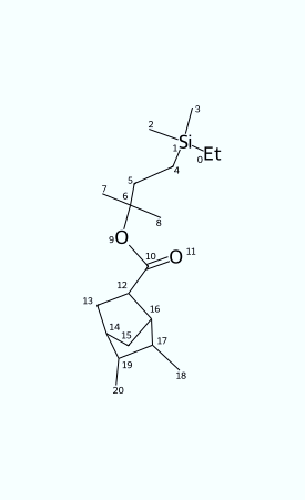 CC[Si](C)(C)CCC(C)(C)OC(=O)C1CC2CC1C(C)C2C